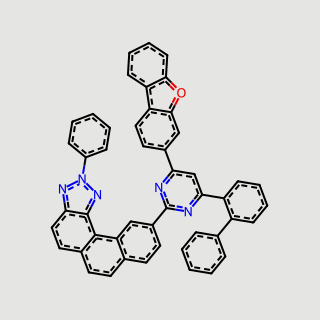 c1ccc(-c2ccccc2-c2cc(-c3ccc4c(c3)oc3ccccc34)nc(-c3ccc4ccc5ccc6nn(-c7ccccc7)nc6c5c4c3)n2)cc1